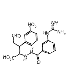 N=C(N)Nc1cccc(C(=O)NNC(C(=O)O)C(CC=O)c2cccc([N+](=O)[O-])c2)c1